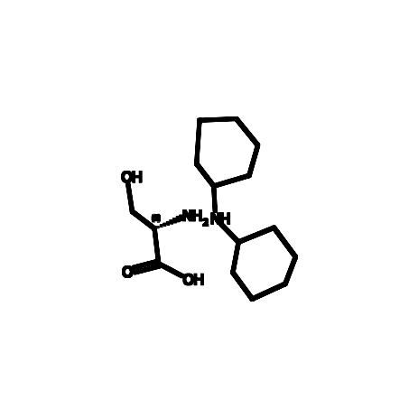 C1CCC(NC2CCCCC2)CC1.N[C@@H](CO)C(=O)O